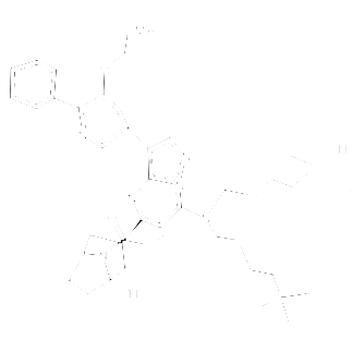 COCOc1cc(-c2cnn3c(N(COCC[Si](C)(C)C)COCC[Si](C)(C)C)cc([C@H]4C[C@H]5CC[C@@H](C4)N5C(=O)OC(C)(C)C)nc23)cnc1-c1ccccc1